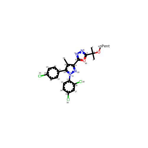 CCCCCOC(C)(C)c1nnc(-c2nn(-c3ccc(Cl)cc3Cl)c(-c3ccc(Cl)cc3)c2C)o1